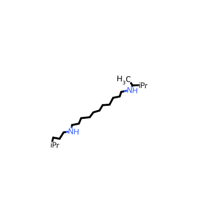 CC(C)CCCNCCCCCCCCCCCNC(C)C(C)C